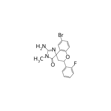 CN1C(=O)C2(CC(c3ccccc3F)Oc3ccc(Br)cc32)N=C1N